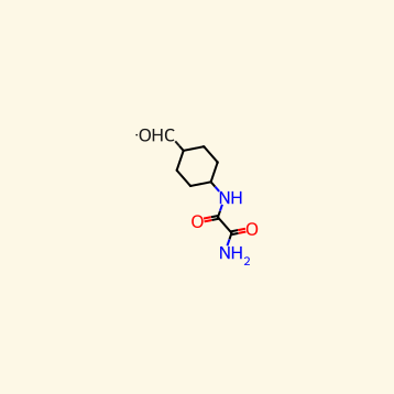 NC(=O)C(=O)NC1CCC([C]=O)CC1